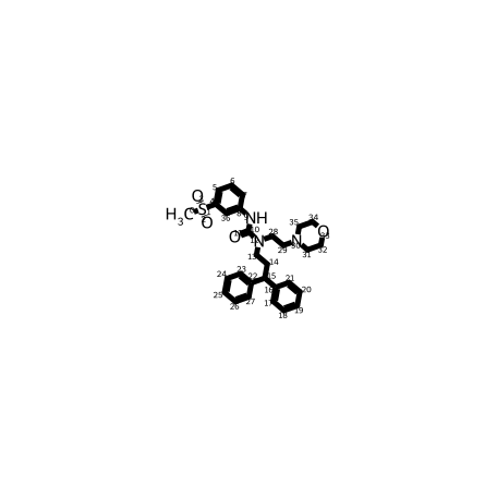 CS(=O)(=O)c1cccc(NC(=O)N(CCC(c2ccccc2)c2ccccc2)CCN2CCOCC2)c1